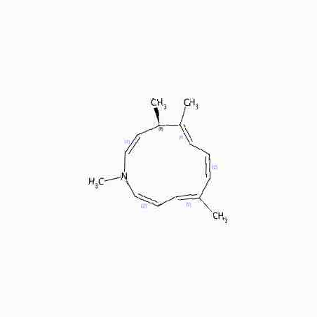 CC1=C\C=C/N(C)/C=C\[C@@H](C)/C(C)=C/C=C\1